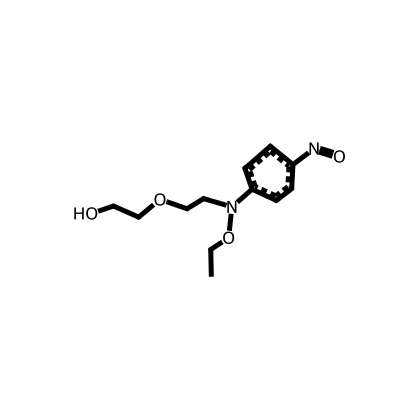 CCON(CCOCCO)c1ccc(N=O)cc1